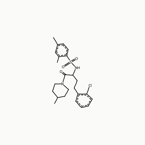 Cc1ccc(S(=O)(=O)NC(CCc2ccccc2Cl)C(=O)N2CCC(C)CC2)c(C)c1